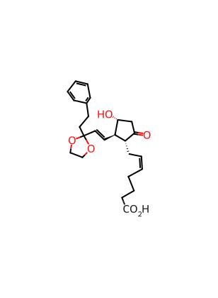 O=C(O)CCC/C=C\C[C@H]1C(=O)C[C@@H](O)[C@@H]1/C=C/C1(CCc2ccccc2)OCCO1